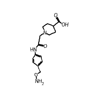 NOCc1ccc(NC(=O)CN2CCC(C(=O)O)CC2)cc1